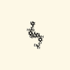 CCN(CC)CCOc1ccc(Nc2ncc3c(C)n(-c4cc(NC(=O)CCc5cccnc5)ccc4Cl)c(=O)nc3n2)cc1